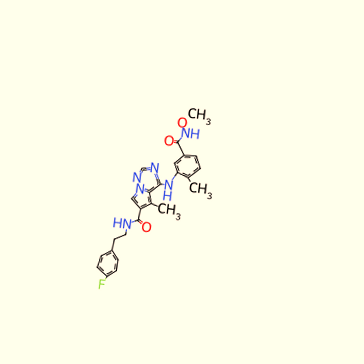 CONC(=O)c1ccc(C)c(Nc2ncnn3cc(C(=O)NCCc4ccc(F)cc4)c(C)c23)c1